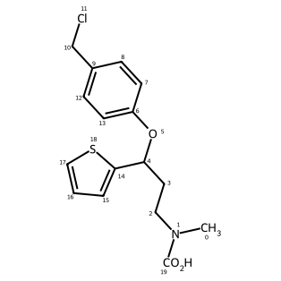 CN(CCC(Oc1ccc(CCl)cc1)c1cccs1)C(=O)O